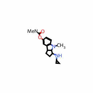 CNC(=O)Oc1ccc2c(c1)C1CCC(NC3CC3)C1N2C